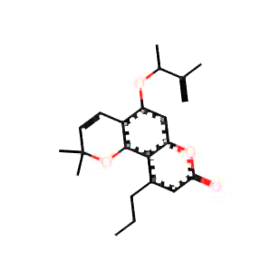 C=C(C)C(C)Oc1cc2oc(=O)cc(CCC)c2c2c1C=CC(C)(C)O2